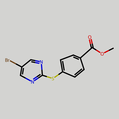 COC(=O)c1ccc(Sc2ncc(Br)cn2)cc1